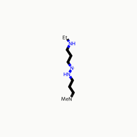 CCNCCC[N]NCCCNC